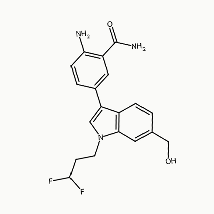 NC(=O)c1cc(-c2cn(CCC(F)F)c3cc(CO)ccc23)ccc1N